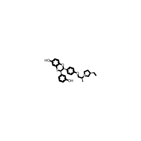 CC[C@@H]1CCN([C@@H](C)COc2ccc([C@@H]3Oc4ccc(O)cc4S[C@@H]3c3cccc(O)c3)cc2)C1